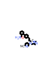 Cn1cncc1CN(CCCc1ccc(-c2ccccc2C(N)=O)cc1)c1ccc(C#N)nc1